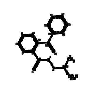 C[C@H](CSC(=O)c1ccccc1C(=O)c1ccccc1)C(=O)O